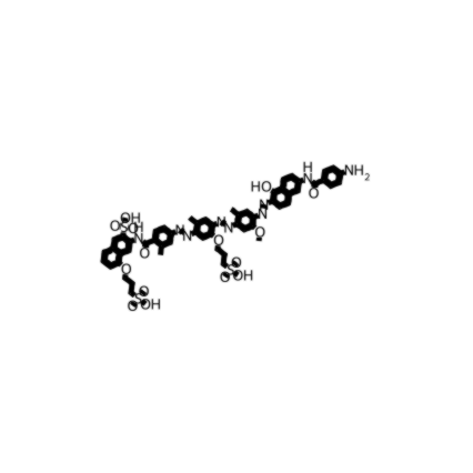 COc1cc(N=Nc2cc(C)c(N=Nc3ccc(C(=O)Nc4cc5c(OCCCS(=O)(=O)O)cccc5cc4S(=O)(=O)O)c(C)c3)cc2OCCCS(=O)(=O)O)c(C)cc1N=Nc1ccc2cc(NC(=O)c3ccc(N)cc3)ccc2c1O